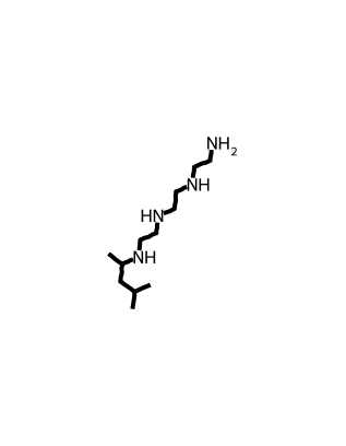 CC(C)CC(C)NCCNCCNCCN